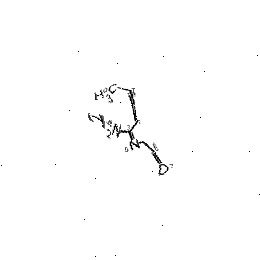 C/C=C\C(N)=N/C=O